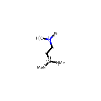 CCN(C)CC[SiH](NC)NC